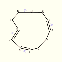 [CH]1/C=C\CC/C=C\C=C\C/C=C/1